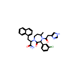 CC1CCN(C(Cc2cccc3ccccc23)C(N)=O)C(=O)C(c2cccc(Cl)c2)N1C(=O)Cc1c[nH]cn1